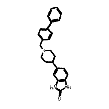 O=c1[nH]c2ccc(C3CCN(Cc4ccc(-c5ccccc5)cc4)CC3)cc2[nH]1